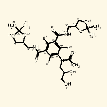 CC(=O)N(CC(O)CO)c1c(I)c(C(=O)NCC2COC(C)(C)O2)c(I)c(C(=O)NCC2COC(C)(C)O2)c1I